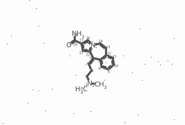 CN(C)CC/C=C1\c2ccccc2C=Cn2cc(C(N)=O)cc21